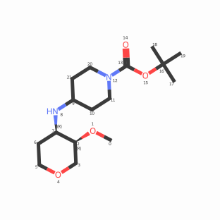 CO[C@H]1COCC[C@H]1NC1CCN(C(=O)OC(C)(C)C)CC1